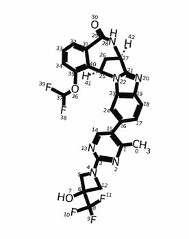 Cc1nc(N2CC(O)(C(F)(F)F)C2)ncc1-c1ccc2nc3n(c2c1)[C@@H]1C[C@H]3NC(=O)c2cccc(OC(F)F)c21